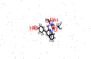 CN(CC(NC(=O)OC(C)(C)C)C(Cc1ccccc1)C1CCC(O)CC1)C(=O)O